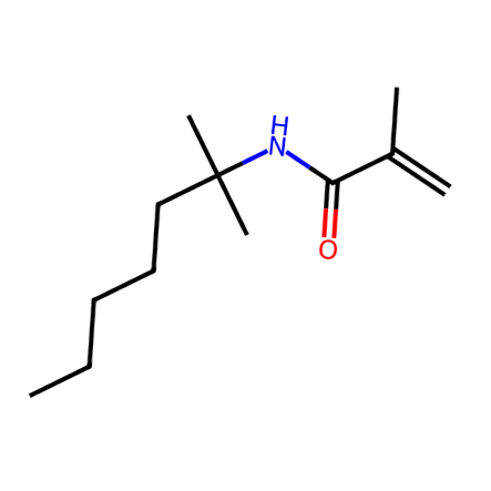 C=C(C)C(=O)NC(C)(C)CCCCC